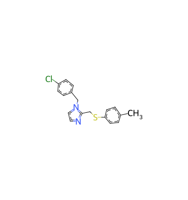 Cc1ccc(SCc2nccn2Cc2ccc(Cl)cc2)cc1